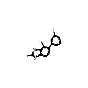 [CH2]c1c(-c2cccc(I)c2)ccc2sc(C)nc12